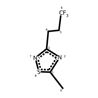 Cc1nc(CCC(F)(F)F)ns1